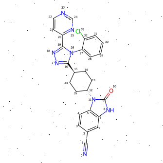 N#Cc1ccc2c(c1)[nH]c(=O)n2[C@H]1CC[C@H](c2nnc(-c3ccncn3)n2-c2ccccc2Cl)CC1